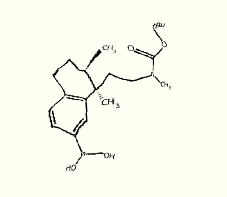 C[C@@H]1CCc2ccc(B(O)O)cc2[C@]1(C)CCN(C)C(=O)OC(C)(C)C